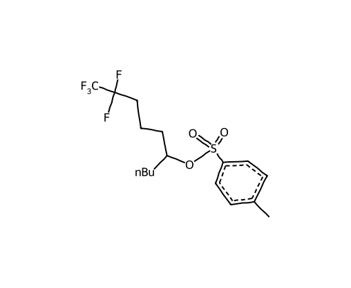 CCCCC(CCCC(F)(F)C(F)(F)F)OS(=O)(=O)c1ccc(C)cc1